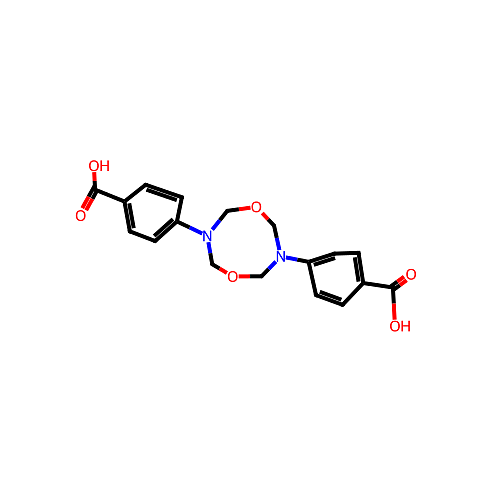 O=C(O)c1ccc(N2COCN(c3ccc(C(=O)O)cc3)COC2)cc1